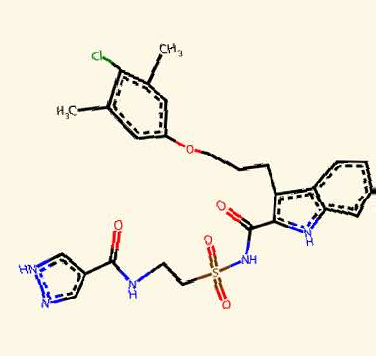 Cc1cc(OCCCc2c(C(=O)NS(=O)(=O)CCNC(=O)c3cn[nH]c3)[nH]c3ccccc23)cc(C)c1Cl